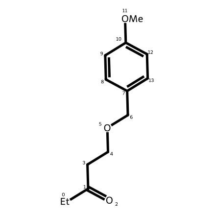 CCC(=O)CCOCc1ccc(OC)cc1